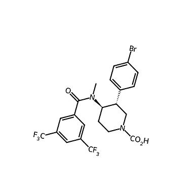 CN(C(=O)c1cc(C(F)(F)F)cc(C(F)(F)F)c1)[C@@H]1CCN(C(=O)O)C[C@H]1c1ccc(Br)cc1